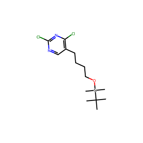 CC(C)(C)[Si](C)(C)OCCCCc1cnc(Cl)nc1Cl